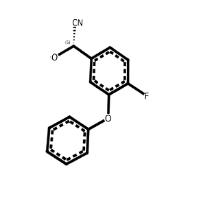 N#C[C@@H]([O])c1ccc(F)c(Oc2ccccc2)c1